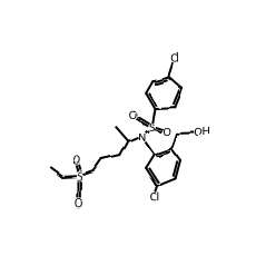 CCS(=O)(=O)CCCC(C)N(c1cc(Cl)ccc1CO)S(=O)(=O)c1ccc(Cl)cc1